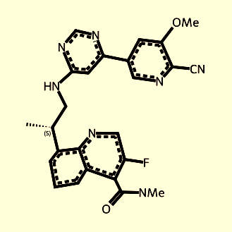 CNC(=O)c1c(F)cnc2c([C@H](C)CNc3cc(-c4cnc(C#N)c(OC)c4)ncn3)cccc12